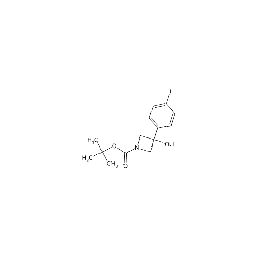 CC(C)(C)OC(=O)N1CC(O)(c2ccc(I)cc2)C1